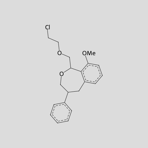 COc1cccc2c1C(COCCCl)OCC(c1ccccc1)C2